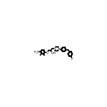 Cc1c(N)ccc(OCC(O)CN2CCN(c3ccc(Cc4ccc(F)cc4)cc3)CC2)c1C